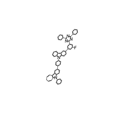 Fc1cc(-c2ccc3c(c2)c2ccccc2n3-c2ccc(-c3ccc4c(c3)c3c(n4-c4ccccc4)C=CCC=C3)cc2)cc(-c2nc(-c3ccccc3)nc(-c3ccccc3)n2)c1